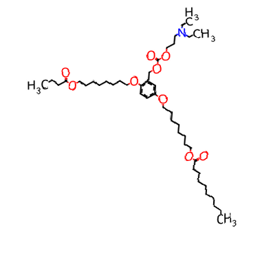 CCCCCCCCCC(=O)OCCCCCCCCOc1ccc(OCCCCCCCCOC(=O)CCC)c(COC(=O)OCCCN(CC)CC)c1